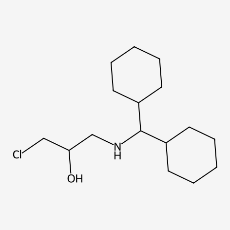 OC(CCl)CNC(C1CCCCC1)C1CCCCC1